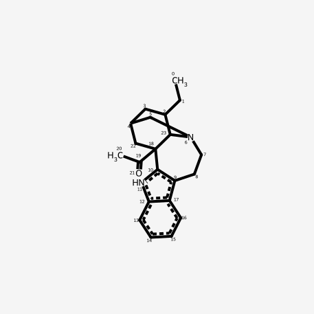 CCC1CC2CN3CCc4c([nH]c5ccccc45)C(C(C)=O)(C2)C13